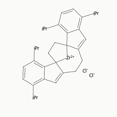 CC(C)c1ccc(C(C)C)c2c1C=C1CCC3=Cc4c(C(C)C)ccc(C(C)C)c4[C]34CC[C]12[Zr+2]4.[Cl-].[Cl-]